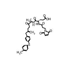 C=C(CCC(=O)[C@H](C)NC(=O)[C@H](CCC(=O)O)NC(=O)CCN1C(=O)C=CC1=O)Cc1ccc(Sc2ccc(C)cc2)cc1